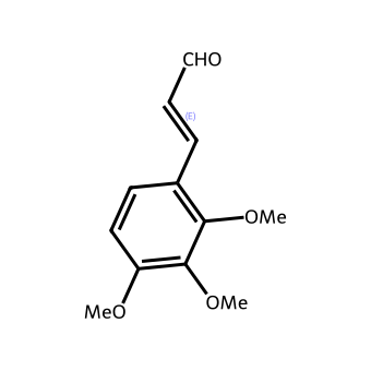 COc1ccc(/C=C/C=O)c(OC)c1OC